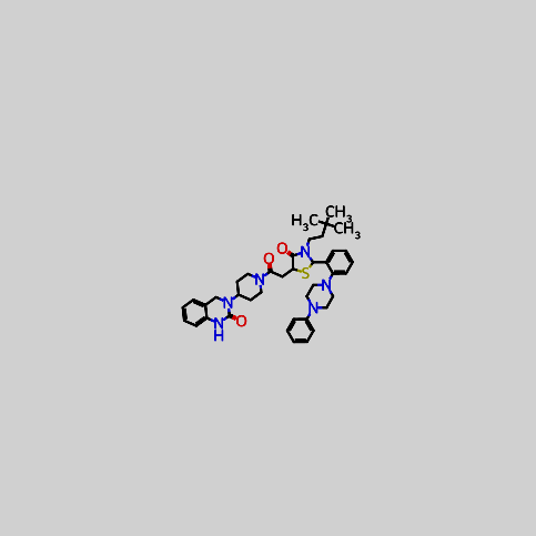 CC(C)(C)CCN1C(=O)C(CC(=O)N2CCC(N3Cc4ccccc4NC3=O)CC2)SC1c1ccccc1N1CCN(c2ccccc2)CC1